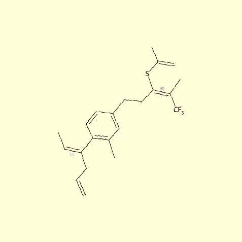 C=CC/C(=C/C)c1ccc(CC/C(SC(=C)C)=C(/C)C(F)(F)F)cc1C